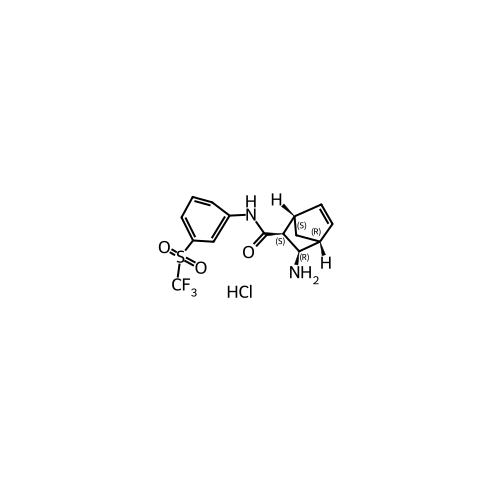 Cl.N[C@H]1[C@@H](C(=O)Nc2cccc(S(=O)(=O)C(F)(F)F)c2)[C@@H]2C=C[C@H]1C2